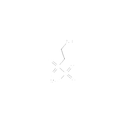 COS(=O)(=O)S(=O)(=O)CCN